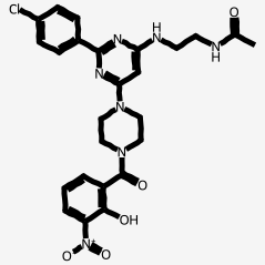 CC(=O)NCCNc1cc(N2CCN(C(=O)c3cccc([N+](=O)[O-])c3O)CC2)nc(-c2ccc(Cl)cc2)n1